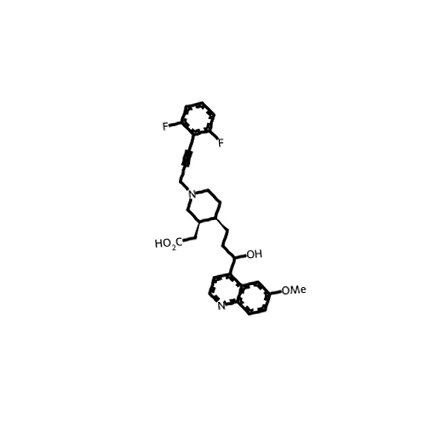 COc1ccc2nccc(C(O)CC[C@@H]3CCN(CC#Cc4c(F)cccc4F)C[C@@H]3CC(=O)O)c2c1